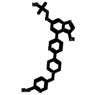 COc1ccc(CN2CC=C(c3ccc(-c4cc(OCC(C)(C)O)cn5ncc(C#N)c45)cn3)CC2)cn1